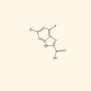 O=C(O)c1cc2c(F)cc(Cl)cc2[nH]1